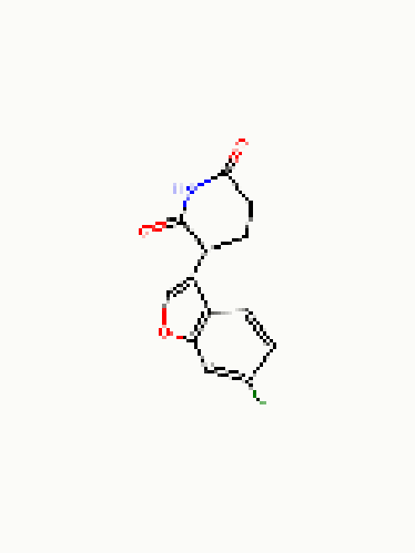 O=C1CCC(c2coc3cc(F)ccc23)C(=O)N1